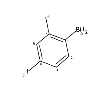 Bc1ccc(I)cc1C